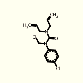 C=CCN(CC=C)C(=O)N(CCl)c1ccc(Cl)cc1